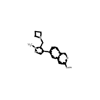 CNc1cc2cc(-c3cnn(C)c3CN3CCC3)ccc2cn1